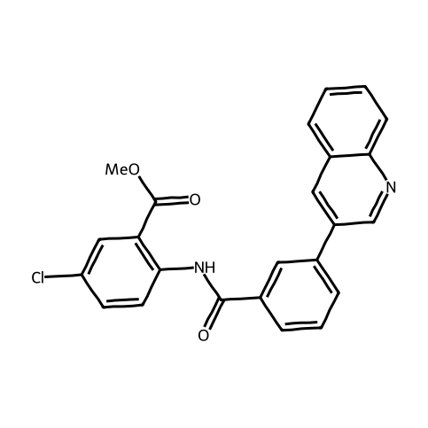 COC(=O)c1cc(Cl)ccc1NC(=O)c1cccc(-c2cnc3ccccc3c2)c1